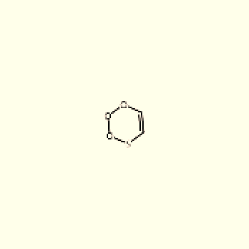 c1csooo1